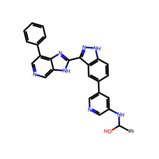 CC(C)C(O)Nc1cncc(-c2ccc3[nH]nc(-c4nc5c(-c6ccccc6)cncc5[nH]4)c3c2)c1